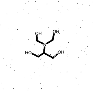 OCC(CO)N(CO)CO